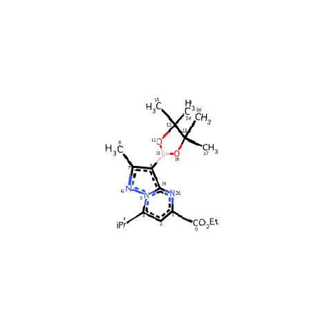 CCOC(=O)c1cc(C(C)C)n2nc(C)c(B3OC(C)(C)C(C)(C)O3)c2n1